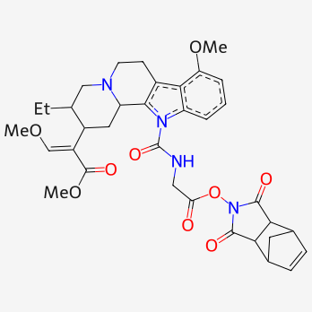 CCC1CN2CCc3c(n(C(=O)NCC(=O)ON4C(=O)C5C6C=CC(C6)C5C4=O)c4cccc(OC)c34)C2CC1/C(=C\OC)C(=O)OC